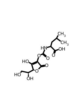 CC(C)CC(NC(=O)OC1=C(O)[C@@H]([C@@H](O)CO)OC1=O)C(=O)O